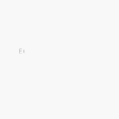 C[CH]C=CC=CC